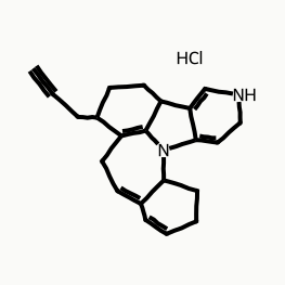 C#CCC1CCC2C3=CNCC=C3N3C2=C1CC=C1C=CCCC13.Cl